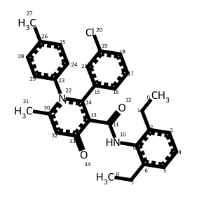 CCc1cccc(CC)c1NC(=O)c1c(-c2cccc(Cl)c2)n(-c2ccc(C)cc2)c(C)cc1=O